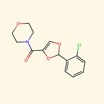 O=C(C1=COC(c2ccccc2Cl)O1)N1CCOCC1